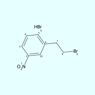 Br.O=[N+]([O-])c1cccc(CCBr)c1